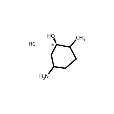 CC1CCC(N)C[C@H]1O.Cl